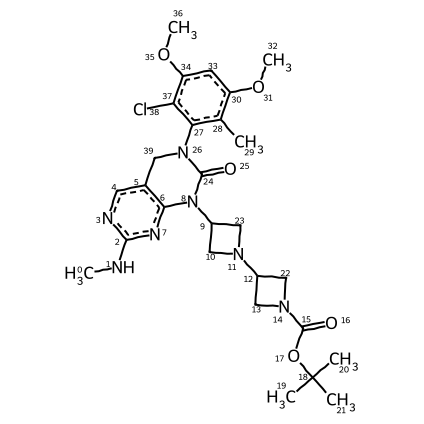 CNc1ncc2c(n1)N(C1CN(C3CN(C(=O)OC(C)(C)C)C3)C1)C(=O)N(c1c(C)c(OC)cc(OC)c1Cl)C2